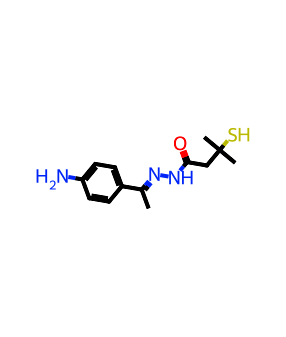 CC(=NNC(=O)CC(C)(C)S)c1ccc(N)cc1